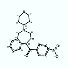 O=C(c1ccc([N+](=O)[O-])cc1)N1CCN(C2CCCCC2)Cc2ccccc21